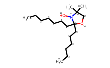 CCCCCCCC1(CCCCCC)OCC(C)(C)N1O